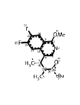 COc1ncc([C@@H](C)N(C)[S@@+]([O-])C(C)(C)C)c2cc(F)c(F)cc12